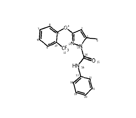 Cc1cc(Oc2ccccc2C(F)(F)F)nn1C(=O)Nc1ccccc1